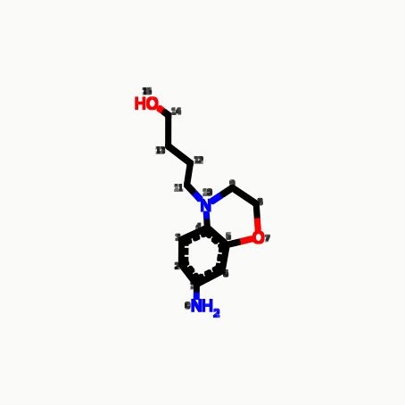 Nc1ccc2c(c1)OCCN2CCCCO